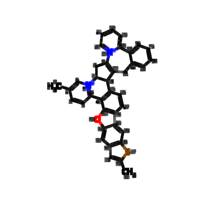 Cc1ccc2[n+](c1)C1CC3=C(Cc4ccccc4-c4cccc[n+]43)C1c1ccc3c(oc4cc5cc(C)sc5cc43)c1-2